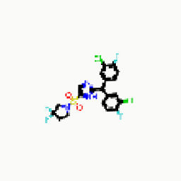 O=S(=O)(c1cnc(C(c2ccc(F)c(Cl)c2)c2ccc(F)c(Cl)c2)[nH]1)N1CCC(F)(F)C1